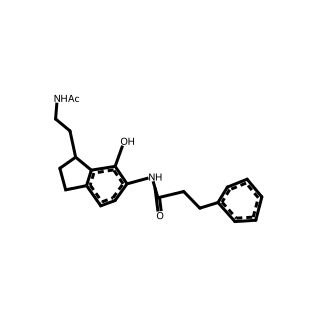 CC(=O)NCCC1CCc2ccc(NC(=O)CCc3ccccc3)c(O)c21